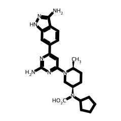 C[C@H]1CC[C@@H](N(C(=O)O)C2CCCC2)CN1c1cc(-c2ccc3c(N)n[nH]c3c2)nc(N)n1